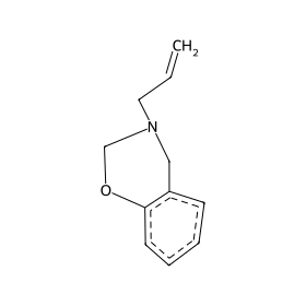 C=CCN1COc2ccccc2C1